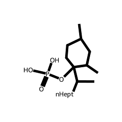 CCCCCCCC(C)C1(OP(=O)(O)O)CCC(C)CC1C